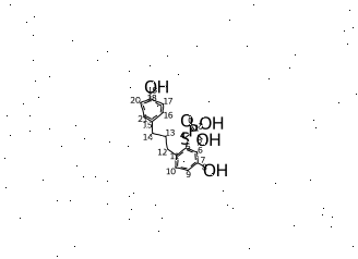 O=P(O)(O)Sc1cc(O)ccc1CCCc1ccc(O)cc1